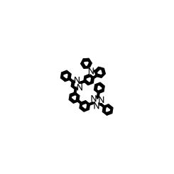 c1ccc(-c2cc(-c3cccc(-c4cccc(-c5nc(-c6ccccc6)nc(-c6ccccc6)n5)c4)c3)nc(-c3ccc4c5ccccc5n(-c5ccccc5)c4c3)n2)cc1